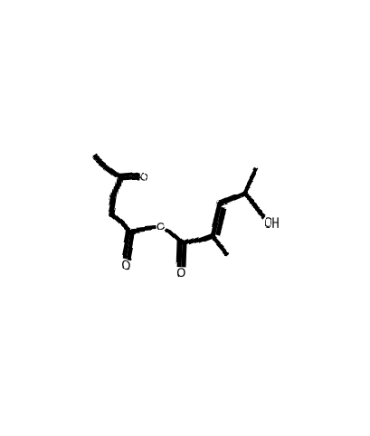 CC(=O)CC(=O)OC(=O)C(C)=CC(C)O